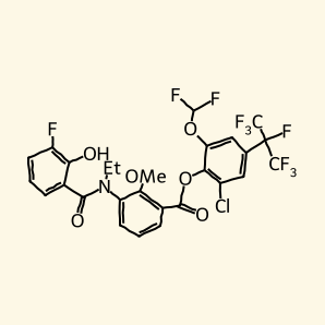 CCN(C(=O)c1cccc(F)c1O)c1cccc(C(=O)Oc2c(Cl)cc(C(F)(C(F)(F)F)C(F)(F)F)cc2OC(F)F)c1OC